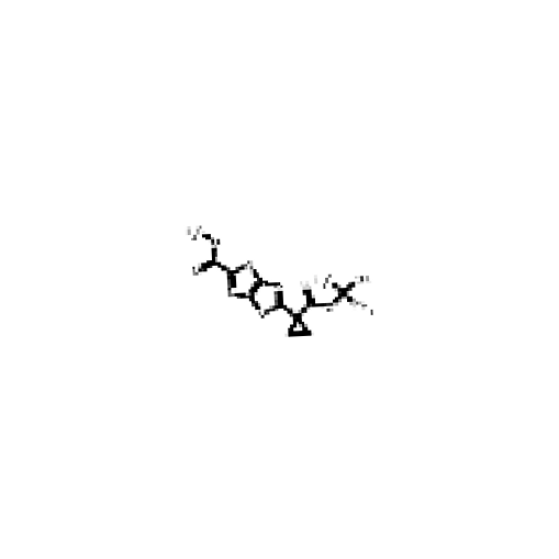 COC(=O)c1nc2oc(C3(C(=O)OC(C)(C)C)CC3)nc2o1